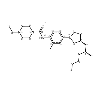 CCCC[C@H](C)C[C@@H]1CCN(c2ccc(NC(=O)N3CCN(CC)CC3)c(C)c2)C1